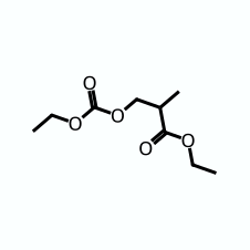 CCOC(=O)OCC(C)C(=O)OCC